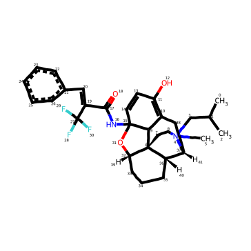 CC(C)C[N+]1(C)CC[C@]23C4C5=C(O)C=CC4(NC(=O)C(=Cc4ccccc4)C(F)(F)F)O[C@H]2CCC[C@H]3[C@H]1C5